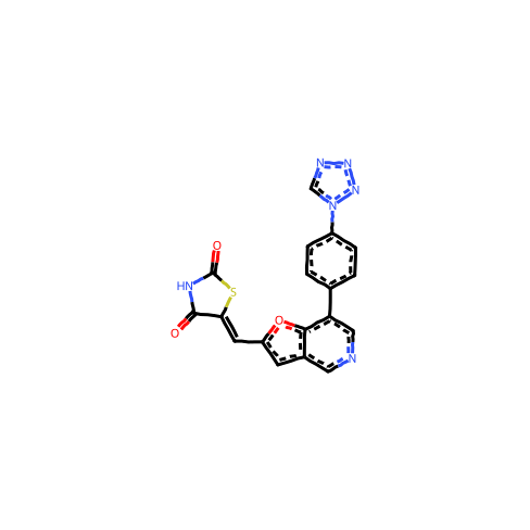 O=C1NC(=O)C(=Cc2cc3cncc(-c4ccc(-n5cnnn5)cc4)c3o2)S1